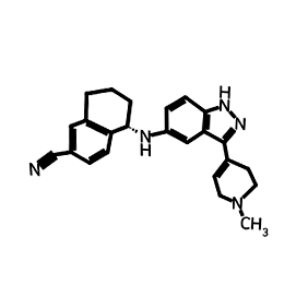 CN1CC=C(c2n[nH]c3ccc(N[C@H]4CCCc5cc(C#N)ccc54)cc23)CC1